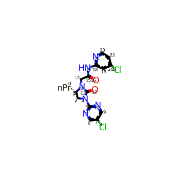 CCC[C@H]1CN(c2ncc(Cl)cn2)C(=O)N1CC(=O)Nc1cc(Cl)ccn1